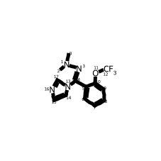 CN(C)N=C(c1ccccc1OC(F)(F)F)n1ccnc1